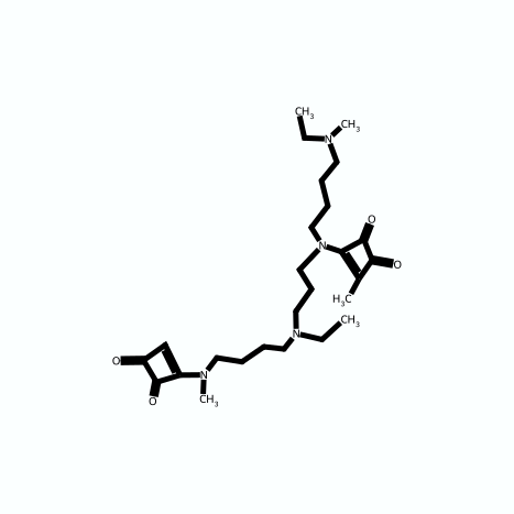 CCN(C)CCCCN(CCCN(CC)CCCCN(C)c1cc(=O)c1=O)c1c(C)c(=O)c1=O